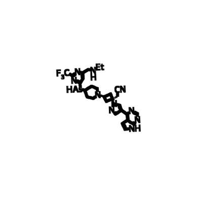 CCNCc1cc([AsH]C2CCN([C@H]3C[C@@](CC#N)(n4cc(-c5ncnc6[nH]ccc56)cn4)C3)CC2)nc(C(F)(F)F)n1